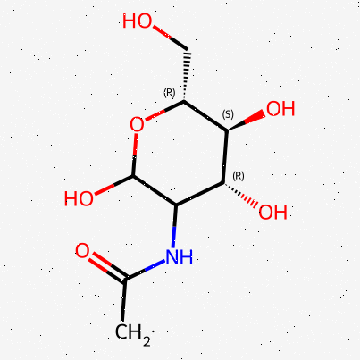 [CH2]C(=O)NC1C(O)O[C@H](CO)[C@@H](O)[C@@H]1O